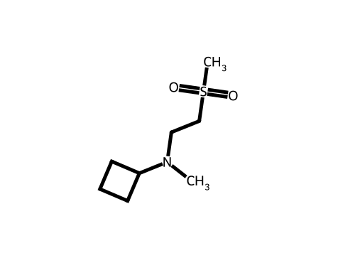 CN(CCS(C)(=O)=O)C1CCC1